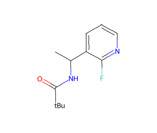 CC(NC(=O)C(C)(C)C)c1cccnc1F